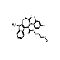 CCOCCCNC(=O)C1c2c(n(C)c3ccccc23)SCC(=O)N1c1ccc(F)cc1F